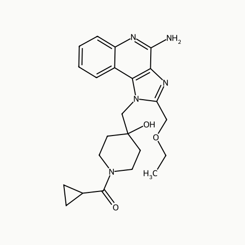 CCOCc1nc2c(N)nc3ccccc3c2n1CC1(O)CCN(C(=O)C2CC2)CC1